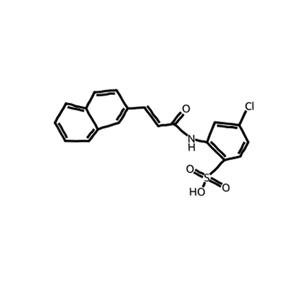 O=C(C=Cc1ccc2ccccc2c1)Nc1cc(Cl)ccc1S(=O)(=O)O